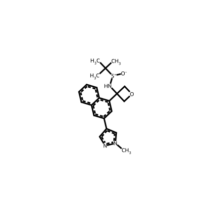 Cn1cc(-c2cc(C3(N[S+]([O-])C(C)(C)C)COC3)c3ccccc3c2)cn1